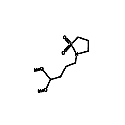 COC(CCCN1CCCS1(=O)=O)OC